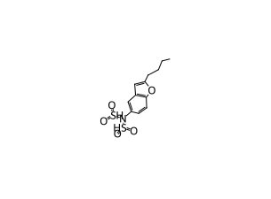 CCCCc1cc2cc(N([SH](=O)=O)[SH](=O)=O)ccc2o1